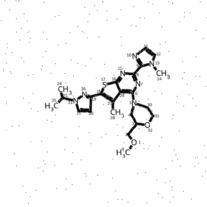 COCC1CN(c2nc(-c3nccn3C)nc3sc(-c4ccn(C(C)C)n4)c(C)c23)CCO1